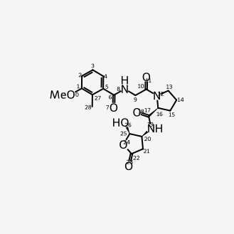 COc1cccc(C(=O)NCC(=O)N2CCC[C@H]2C(=O)N[C@H]2CC(=O)O[C@H]2O)c1C